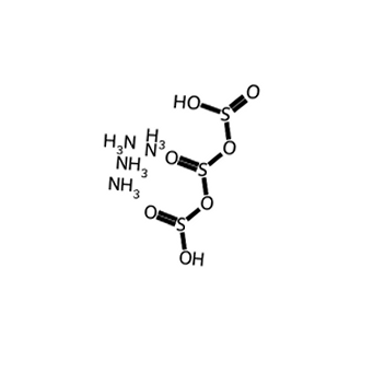 N.N.N.N.O=S(O)OS(=O)OS(=O)O